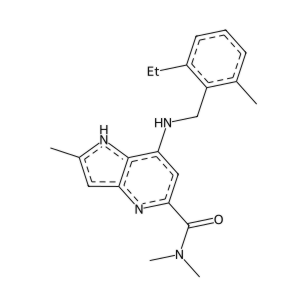 CCc1cccc(C)c1CNc1cc(C(=O)N(C)C)nc2cc(C)[nH]c12